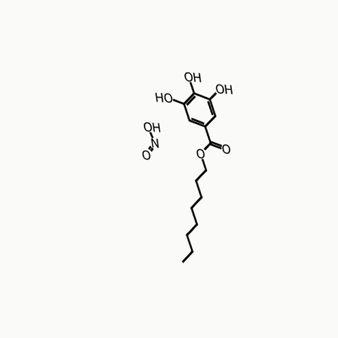 CCCCCCCCOC(=O)c1cc(O)c(O)c(O)c1.O=NO